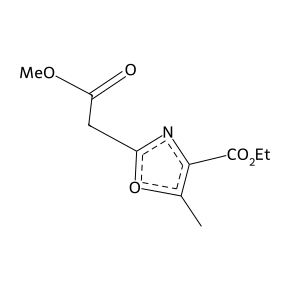 CCOC(=O)c1nc(CC(=O)OC)oc1C